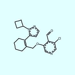 O=Cc1c(Cl)cncc1OCC1=C(c2ccnn2C2CCC2)CCCC1